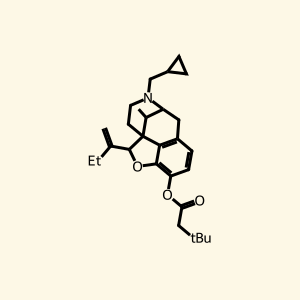 C=C(CC)C1Oc2c(OC(=O)CC(C)(C)C)ccc3c2C12CCN(CC1CC1)C(C3)C2C